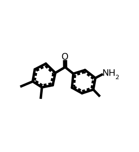 Cc1ccc(C(=O)c2ccc(C)c(N)c2)cc1C